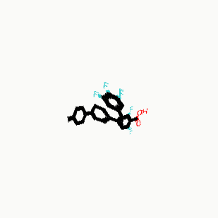 CC1CCC(C2CCC(c3cc(F)c(C(=O)O)c(F)c3-c3cc(F)c(F)c(F)c3)CC2)CC1